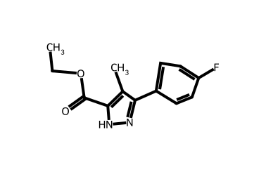 CCOC(=O)c1[nH]nc(-c2ccc(F)cc2)c1C